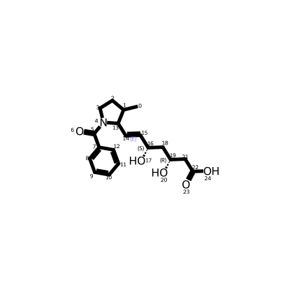 CC1CCN(C(=O)c2ccccc2)C1/C=C/[C@@H](O)C[C@@H](O)CC(=O)O